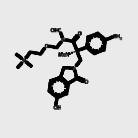 Bc1ccc([C@](CN2Cc3ccc(O)cc3C2=O)(NC)C(=O)N(C=O)COCC[Si](C)(C)C)cc1